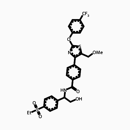 CCS(=O)(=O)c1ccc(C(CO)NC(=O)c2ccc(-c3nc(Oc4ccc(C(F)(F)F)cc4)sc3COC)cc2)cc1